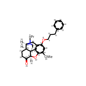 CCCN1CC[C@]23c4c5c(OCCCc6ccccc6)cc(OC)c4O[C@H]2C(=O)CC[C@H]3[C@H]1C5